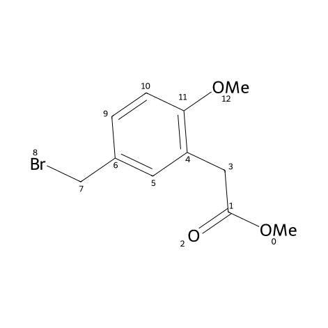 COC(=O)Cc1cc(CBr)ccc1OC